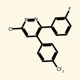 Fc1cccc(-c2nnc(Cl)cc2-c2ccc(C(F)(F)F)cc2)c1